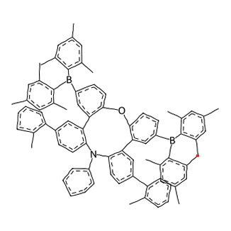 Cc1cc(C)c(B(c2ccc3c(c2)-c2cc(-c4ccccc4C)ccc2N(c2ccccc2)c2ccc(-c4ccccc4C)cc2-c2cc(B(c4c(C)cc(C)cc4C)c4c(C)cc(C)cc4C)ccc2O3)c2c(C)cc(C)cc2C)c(C)c1